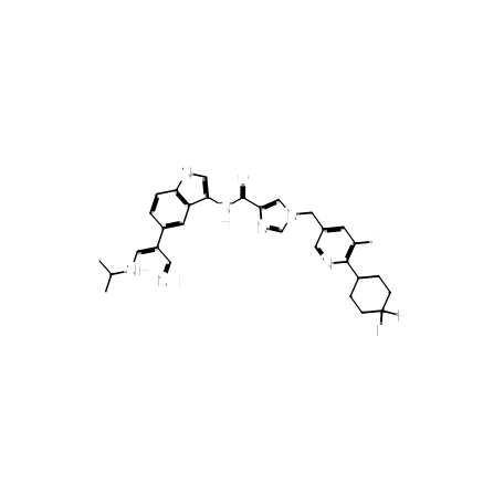 CC(C)N/C=C(\C=N)c1ccc2[nH]cc(NC(=O)c3cn(Cc4cnc(C5CCC(F)(F)CC5)c(F)c4)cn3)c2c1